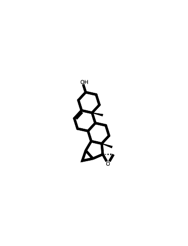 C[C@]12CCC(O)CC1=CCC1C2CC[C@@]2(C)C1C1CC1[C@@]21CO1